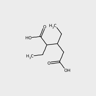 CCC(CC(=O)O)C(CC)C(=O)O